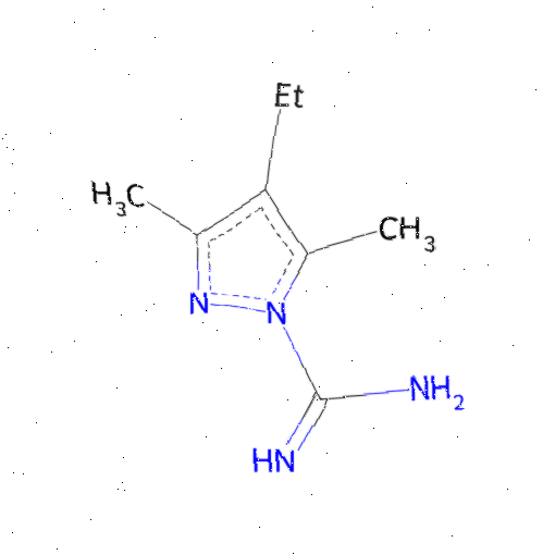 CCc1c(C)nn(C(=N)N)c1C